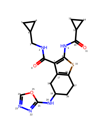 O=C(NCC1CC1)c1c(NC(=O)C2CC2)sc2c1CC(Nc1nnco1)CC2